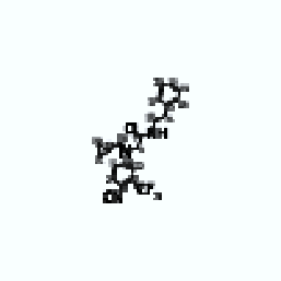 [C-]#[N+]c1ccc(N(CC(=O)NCCc2ccccc2)CC2CC2)cc1C(F)(F)F